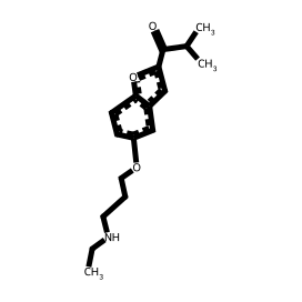 CCNCCCOc1ccc2oc(C(=O)C(C)C)cc2c1